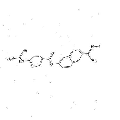 N=C(N)Nc1ccc(C(=O)Oc2ccc3cc(C(N)=NI)ccc3c2)cc1